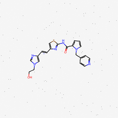 O=C(Nc1nc(/C=C/c2cn(CCO)cn2)cs1)c1cccn1Cc1ccncc1